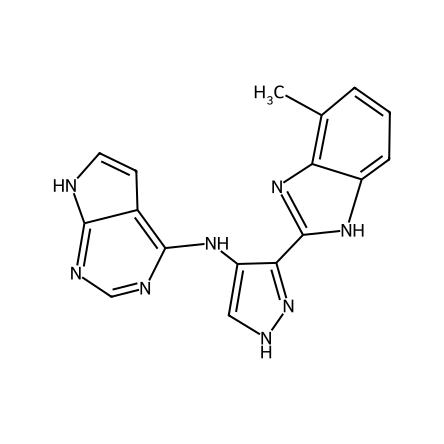 Cc1cccc2[nH]c(-c3n[nH]cc3Nc3ncnc4[nH]ccc34)nc12